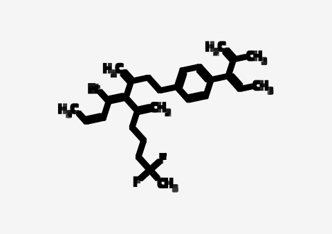 C=C(C)/C(=C\C)c1ccc(CCC(=C)/C(C(=C)CCCC(C)(F)F)=C(/C=C\C)CC)cc1